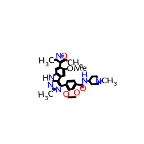 COc1cc2c(cc1-c1c(C)noc1C)[nH]c1nc(C)nc(-c3ccc(C(=O)NC4CCN(C)CC4)c4c3OCCO4)c12